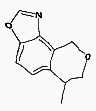 CC1COCc2c1ccc1ocnc21